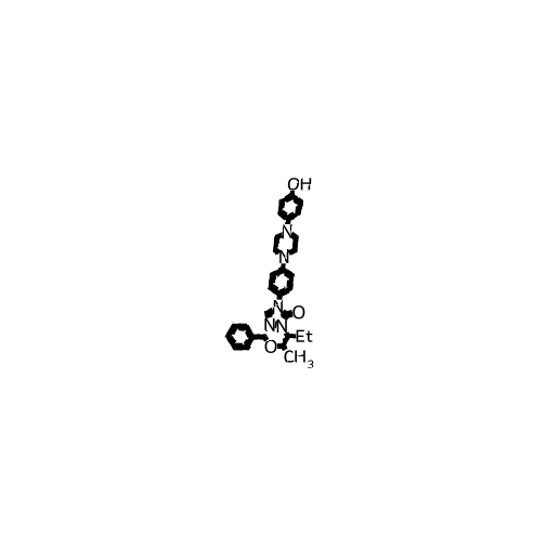 CCC(C(C)OCc1ccccc1)n1ncn(-c2ccc(N3CCN(c4ccc(O)cc4)CC3)cc2)c1=O